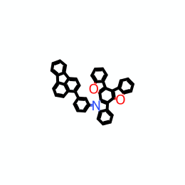 c1cc(-c2ccc3c4c(cccc24)-c2ccccc2-3)cc(-n2c3ccccc3c3c4oc5ccccc5c4c4c5ccccc5oc4c32)c1